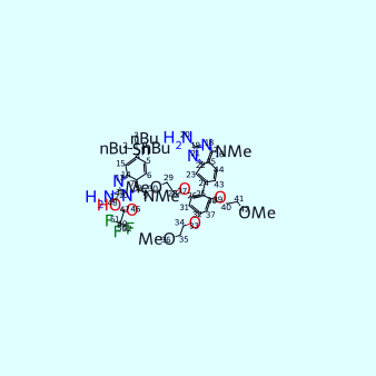 CCC[CH2][Sn]([CH2]CCC)([CH2]CCC)[c]1ccc2c(NC)nc(N)nc2c1.CNc1nc(N)nc2cc(-c3c(OCCOC)cc(OCCOC)cc3OCCOC)ccc12.O=C(O)C(F)(F)F